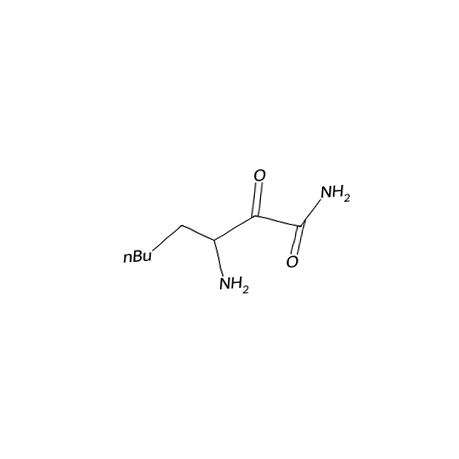 CCCCCC(N)C(=O)C(N)=O